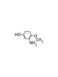 COC1=C(N)C=C(O)[CH]C1